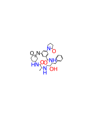 C[C@H](NC[C@@H](O)[C@H](Cc1ccccc1)NC(=O)c1cc(N2CCCC2=O)cc([N+](=O)[O-])c1)C(=O)NC1CCCCC1